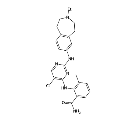 CCN1CCc2ccc(Nc3ncc(Cl)c(Nc4c(C)cccc4C(N)=O)n3)cc2CC1